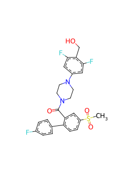 CS(=O)(=O)c1ccc(-c2ccc(F)cc2)c(C(=O)N2CCN(c3cc(F)c(CO)c(F)c3)CC2)c1